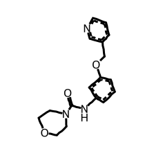 O=C(Nc1cccc(OCc2cccnc2)c1)N1CCOCC1